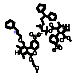 COC(=O)C1=C(C)NC(C)=C(C(=O)OC(C)(C)CN(C)CCC(c2ccccc2)c2ccccc2)C1c1cccc([N+](=O)[O-])c1.COCCOC(=O)C1=C(C)NC(C)=C(COC/C=C/c2ccccc2)C1c1cccc([N+](=O)[O-])c1